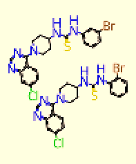 S=C(Nc1cccc(Br)c1)NC1CCN(c2ncnc3cc(Cl)ccc23)CC1.S=C(Nc1ccccc1Br)NC1CCN(c2ncnc3cc(Cl)ccc23)CC1